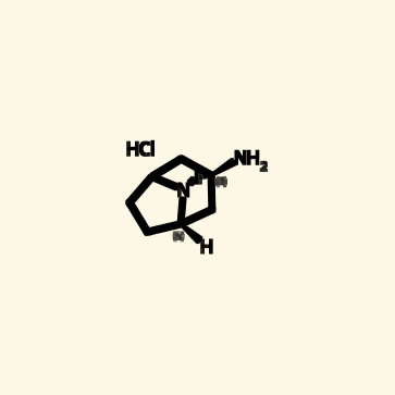 CC(C)N1C2CC[C@H]1C[C@H](N)C2.Cl